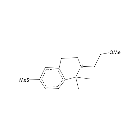 COCCN1CCc2cc(SC)ccc2C1(C)C